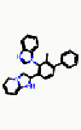 Cc1c(-c2ccccc2)ccc(C2CN3CC=CC=C3N2)c1-n1cnc2ccccc21